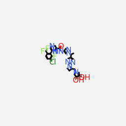 CC(c1cnc(N2CCC2CN2C[C@@H](O)[C@@H](O)C2)nc1)n1cc(NC(=O)c2cncc(-c3c(C(F)F)ccc(Cl)c3F)n2)cn1